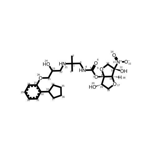 CC(C)(CNC(=O)O[C@@]12OC[C@](O)([N+](=O)[O-])[C@H]1OC[C@@H]2O)NCC(O)COc1ccccc1C1CCCC1